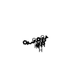 Cn1ccnc1Nc1ncc2c(n1)N(c1cccc(NC(=O)/C=C/CC3CC4(CCCCC4)C3)c1)C(=O)N(C1CC1)C2